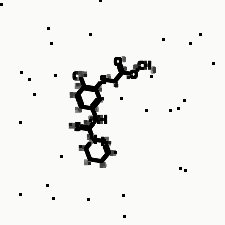 COC(=O)CSc1cc(NC(=S)N2CCCC=N2)ccc1Cl